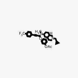 CC(=O)Oc1cccc([C@@]23CCN(CC4CC4)C[C@H]2CC[C@H](N(C)C(=O)C#Cc2ccc(C(F)(F)F)cc2)C3)c1